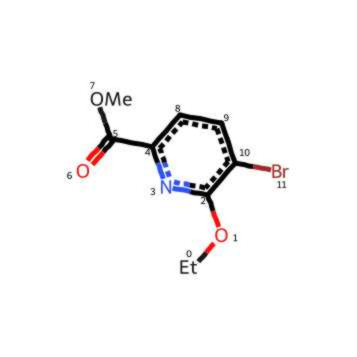 CCOc1nc(C(=O)OC)ccc1Br